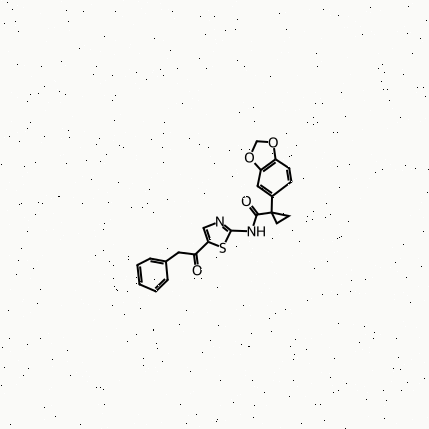 O=C(Cc1ccccc1)c1cnc(NC(=O)C2(c3ccc4c(c3)OCO4)CC2)s1